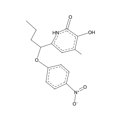 CCCC(Oc1ccc([N+](=O)[O-])cc1)c1cc(C)c(O)c(=O)[nH]1